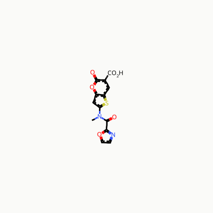 CN(C(=O)c1ncco1)c1cc2oc(=O)c(C(=O)O)cc2s1